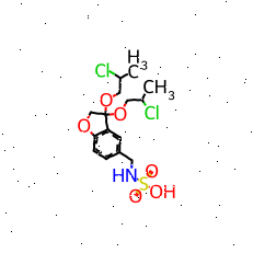 CC(Cl)COC1(OCC(C)Cl)COc2ccc(CNS(=O)(=O)O)cc21